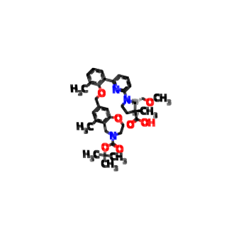 COC[C@H]1N(c2cccc(-c3cccc(C)c3OCc3cc(C)c4c(c3)OCCN(C(=O)OC(C)(C)C)C4)n2)CC[C@@]1(C)C(=O)O